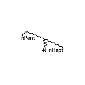 CCCCC/C=C\C/C=C\CCCCCCCCC(CCCCCCCC/C=C\CCCCCCC)SSCCN(C)C